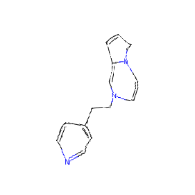 C1=CC2=CN(CCc3ccncc3)C=CN2C1